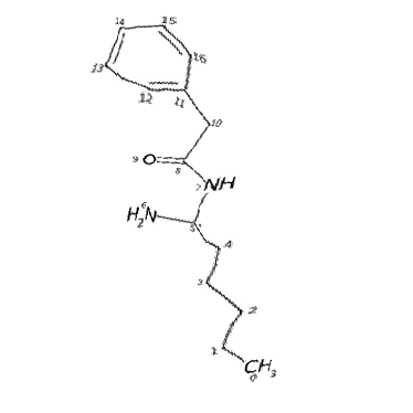 CCCCC[C](N)NC(=O)Cc1ccccc1